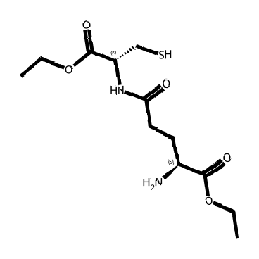 CCOC(=O)[C@H](CS)NC(=O)CC[C@H](N)C(=O)OCC